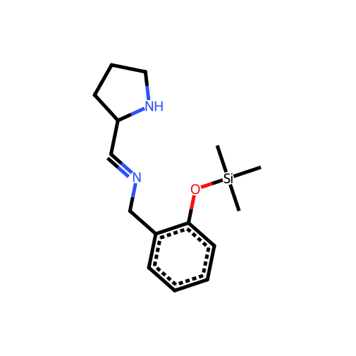 C[Si](C)(C)Oc1ccccc1CN=CC1CCCN1